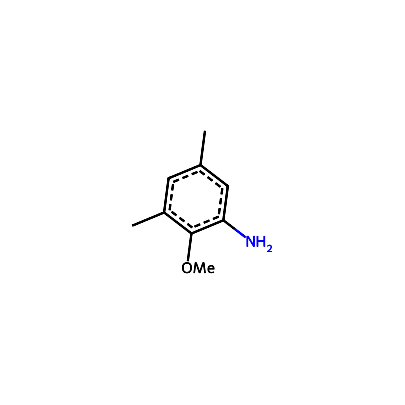 COc1c(C)cc(C)cc1N